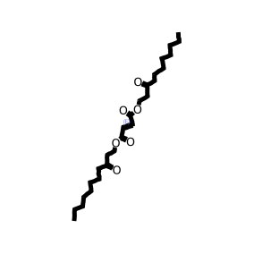 CCCCCCCCC(=O)CCOC(=O)/C=C/C(=O)OCCC(=O)CCCCCCCC